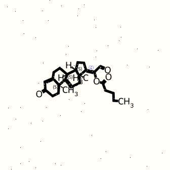 CCCCC(=O)O/C(C=O)=C1/CC[C@H]2[C@@H]3CCC4=CC(=O)CC[C@]4(C)C3=CC[C@]12C